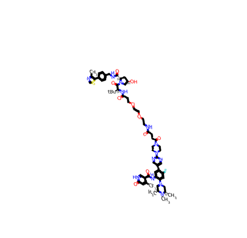 Cc1ncsc1-c1ccc(CNC(=O)[C@@H]2C[C@@H](O)CN2C(=O)[C@@H](NC(=O)CCOCCOCCNC(=O)CCC(=O)N2CCN(c3ncc(-c4cc(NC(=O)c5c[nH]c(=O)cc5C(F)(F)F)c(N5C[C@@H](C)N(C)[C@@H](C)C5)cc4F)cn3)CC2)C(C)(C)C)cc1